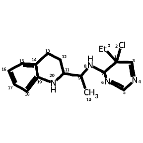 CCC1(Cl)C=NC=NC1NC(C)C1CCc2ccccc2N1